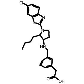 CCCCC1C(NCc2cccc(CC(=O)O)c2)CCN1c1nc2ccc(Cl)cc2s1